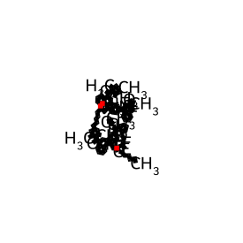 CCCCCCOCCn1c2ccc(/C(=N/OC(C)=O)c3ccccc3OCC(F)(F)C(F)F)cc2c2cc(C(=O)c3c(C)cc(CCCCCC(CC)Cn4c5ccc(/C(=N/OC(C)=O)c6ccccc6C(F)(F)F)cc5c5cc(C(=O)c6c(C)cc(C)cc6C)c6ccccc6c54)cc3C)c3ccccc3c21